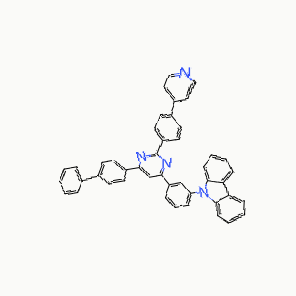 c1ccc(-c2ccc(-c3cc(-c4cccc(-n5c6ccccc6c6ccccc65)c4)nc(-c4ccc(-c5ccncc5)cc4)n3)cc2)cc1